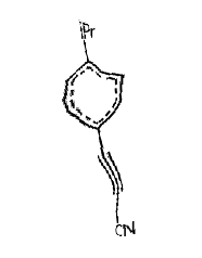 CC(C)c1ccc(C#CC#N)cc1